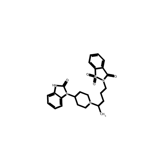 CC(CCCN1C(=O)c2ccccc2S1(=O)=O)N1CCC(n2c(=O)[nH]c3ccccc32)CC1